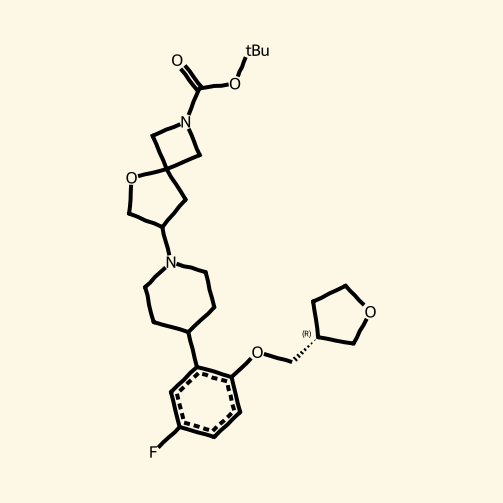 CC(C)(C)OC(=O)N1CC2(CC(N3CCC(c4cc(F)ccc4OC[C@@H]4CCOC4)CC3)CO2)C1